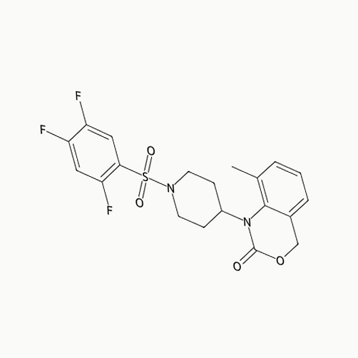 Cc1cccc2c1N(C1CCN(S(=O)(=O)c3cc(F)c(F)cc3F)CC1)C(=O)OC2